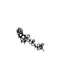 C[C@@H](CCOC(=O)OCOC(=O)C1=Cc2cc(S(F)(F)(F)(F)F)ccc2O[C@@H]1C(F)(F)F)O[N+](=O)[O-]